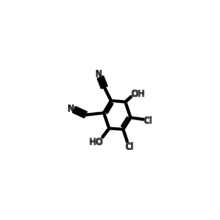 N#CC1=C(C#N)C(O)C(Cl)=C(Cl)C1O